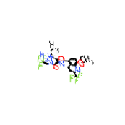 COc1ccc(-c2nc(C(=O)NCC(F)(F)F)c([C@H](C)N)o2)c2ccc(C(F)(F)F)nc12